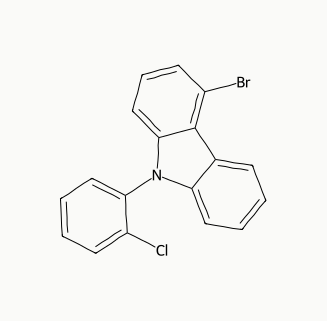 Clc1ccccc1-n1c2ccccc2c2c(Br)cccc21